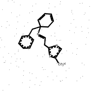 O=C(O)c1cnc(C/C=N/C2(Cc3ccccc3)C=CC=CC2)s1